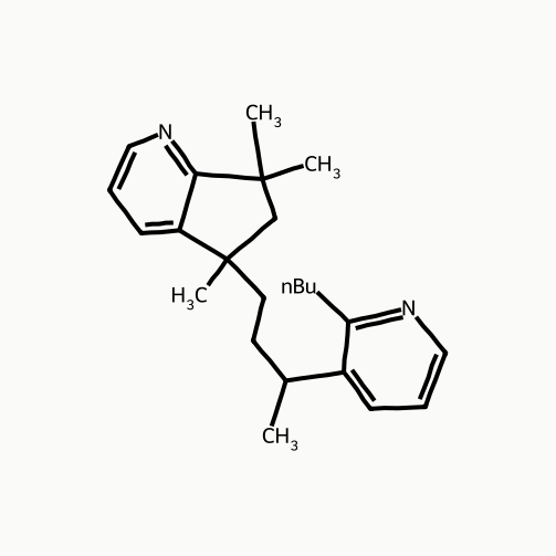 CCCCc1ncccc1C(C)CCC1(C)CC(C)(C)c2ncccc21